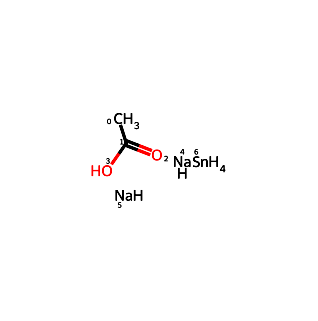 CC(=O)O.[NaH].[NaH].[SnH4]